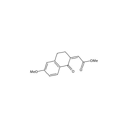 COC(=O)C=C1CCc2cc(OC)ccc2C1=O